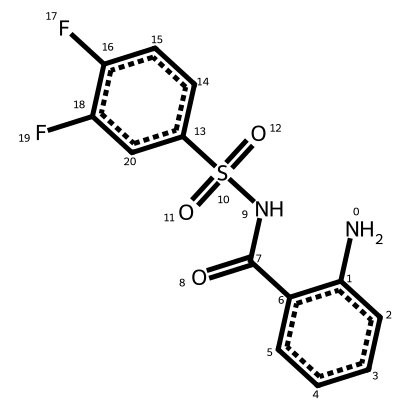 Nc1ccccc1C(=O)NS(=O)(=O)c1ccc(F)c(F)c1